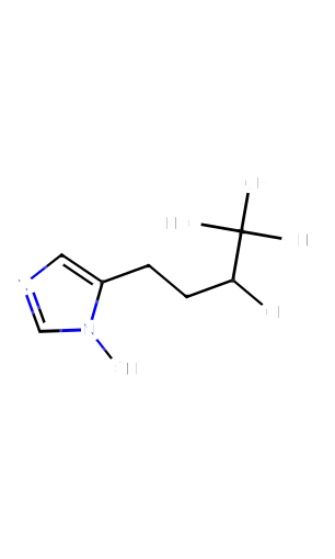 CC(CCc1cncn1C)C(C)(C)C